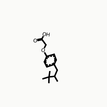 CC(Cc1ccc(OCC(=O)O)cc1)C(C)(C)C